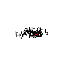 Cn1c(=O)n(CC(C)(C)C)c2ccc(C3CC4CCC(C(C)(C)C)(C3)N4C(=O)O)nc21